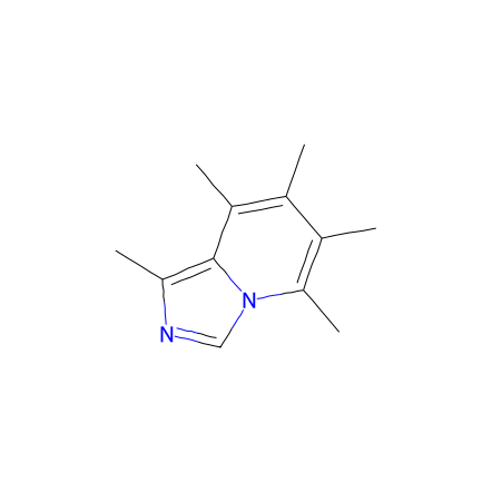 Cc1c(C)c(C)n2cnc(C)c2c1C